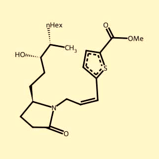 CCCCCC[C@H](C)[C@@H](O)CC[C@@H]1CCC(=O)N1C/C=C\c1ccc(C(=O)OC)s1